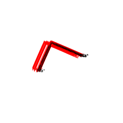 O.O.O.O.O.O.O.O.O.O.O.O.O.O.O.O.O.O.O.O.O.O.O.O.O.O.O.O.O.O.O.O.O.O.O.O.O.O.O.O.O.O.O.O.O.O.O.O.O.O.O.O.O.O.O.O.O.O.O.O.O.O.O.O.O.O.O.O.O.O.O.O.O.O.O.O.O.O.O.O.O.O.O.O.O.O.O.O.O.O.O.O.O.O.O.O.O.[Na+].[Na+].[Na+].[OH-].[OH-].[OH-]